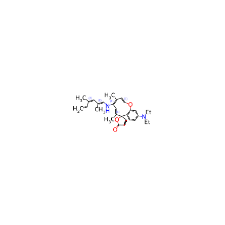 C=C/C(C)=C\C(C)=C\NC1=C(C)/C=C/Oc2cc(N(CC)CC)ccc2C2(OC(=O)c3ccccc32)\C(C)=C\1